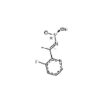 C/C(=N\[S@@+]([O-])C(C)(C)C)c1ncccc1F